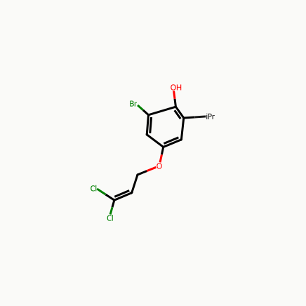 CC(C)c1cc(OCC=C(Cl)Cl)cc(Br)c1O